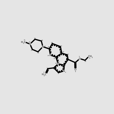 C=Cc1cnc2c(C(=O)OCC)cc3ccc(N4CCN(C)CC4)nc3n12